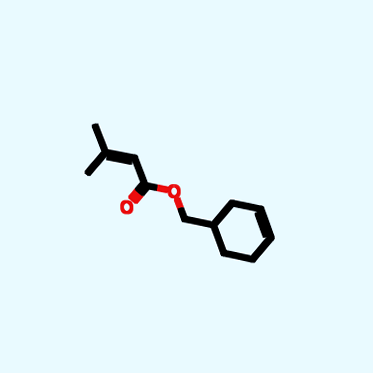 CC(C)=CC(=O)OCC1CC=CCC1